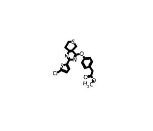 COC(=O)Cc1ccc(Oc2nc(-c3ccc(Cl)s3)nc3c2CSCC3)cc1